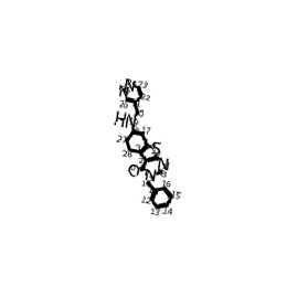 O=c1c2c3c(sc2ncn1Cc1ccccc1)CC(NCc1ccnnc1)CC3